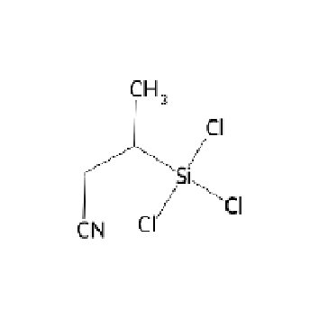 CC(CC#N)[Si](Cl)(Cl)Cl